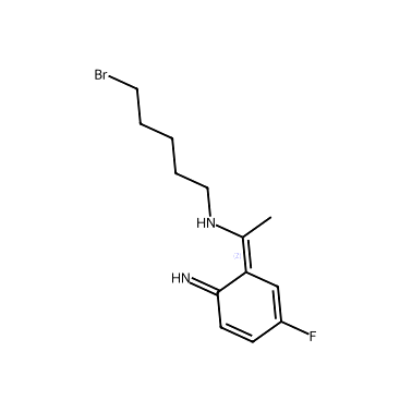 C/C(NCCCCCBr)=C1\C=C(F)C=CC1=N